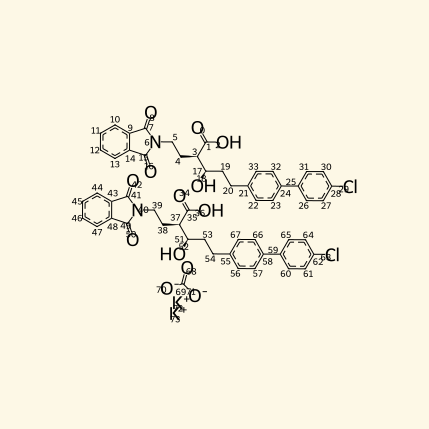 O=C(O)[C@H](CCN1C(=O)c2ccccc2C1=O)[C@H](O)CCc1ccc(-c2ccc(Cl)cc2)cc1.O=C(O)[C@H](CCN1C(=O)c2ccccc2C1=O)[C@H](O)CCc1ccc(-c2ccc(Cl)cc2)cc1.O=C([O-])[O-].[K+].[K+]